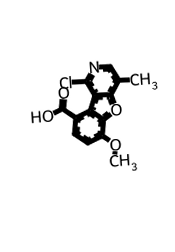 COc1ccc(C(=O)O)c2c1oc1c(C)cnc(Cl)c12